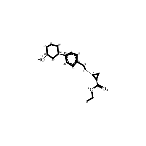 CCOC(=O)[C@@H]1C[C@H]1CCc1ccc([C@@H]2CCC[C@@H](O)C2)cc1